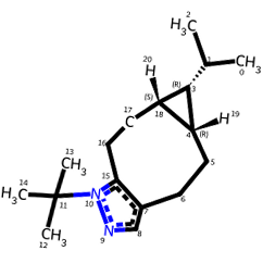 CC(C)[C@@H]1[C@@H]2CCc3cnn(C(C)(C)C)c3CC[C@@H]21